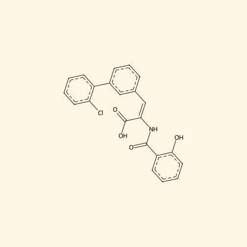 O=C(O)/C(=C\c1cccc(-c2ccccc2Cl)c1)NC(=O)c1ccccc1O